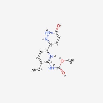 COc1ccc(-c2ccc(=O)[nH]n2)nc1NC(=O)OC(C)(C)C